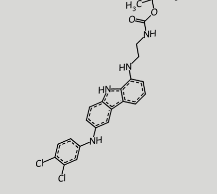 CC(C)(C)OC(=O)NCCNc1cccc2c1[nH]c1ccc(Nc3ccc(Cl)c(Cl)c3)cc12